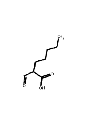 CCCCCC([C]=O)C(=O)O